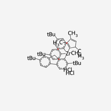 Cl.Cl.[CH2]=[Zr]([C]1=C(C)C(C)=CC1C)([c]1ccc(C(C)(C)C)cc1)([c]1ccc(C(C)(C)C)cc1)[c]1c(C(C)(C)C)ccc2c1Cc1cc(C(C)(C)C)ccc1-2